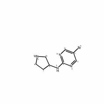 Brc1cnc(NC2CCNC2)nc1